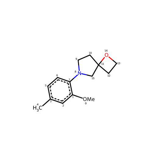 COc1cc(C)ccc1N1CCC2(CCO2)C1